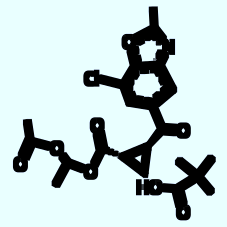 CC(=O)OC(C)OC(=O)[C@H]1C[C@@H]1C(=O)c1cc(Cl)c2oc(C)nc2c1.CC(C)(C)C(=O)O